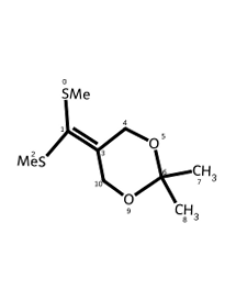 CSC(SC)=C1COC(C)(C)OC1